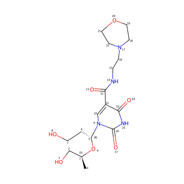 C[C@@H](CO)O[C@H](CCO)n1cc(C(=O)NCCN2CCOCC2)c(=O)[nH]c1=O